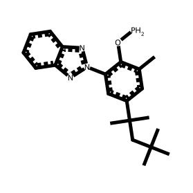 Cc1cc(C(C)(C)CC(C)(C)C)cc(-n2nc3ccccc3n2)c1OP